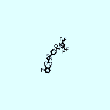 O=C(Cn1nc(C(F)F)cc1C(F)F)N1CCC(c2nc(C3OCc4cccc(F)c4CO3)cs2)CC1